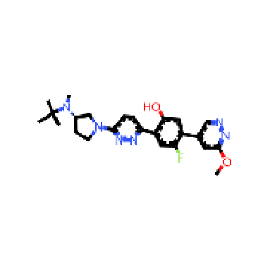 COc1cc(-c2cc(O)c(-c3ccc(N4CC[C@H](N(C)C(C)(C)C)C4)nn3)cc2F)cnn1